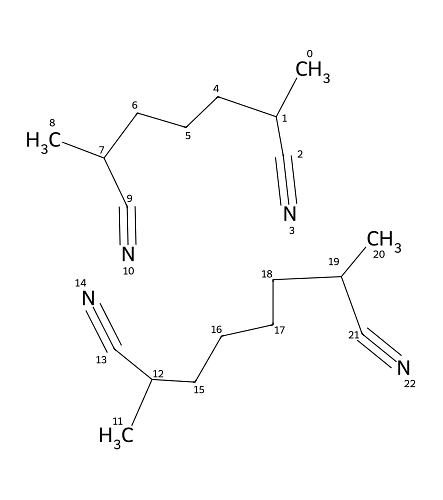 CC(C#N)CCCC(C)C#N.CC(C#N)CCCCC(C)C#N